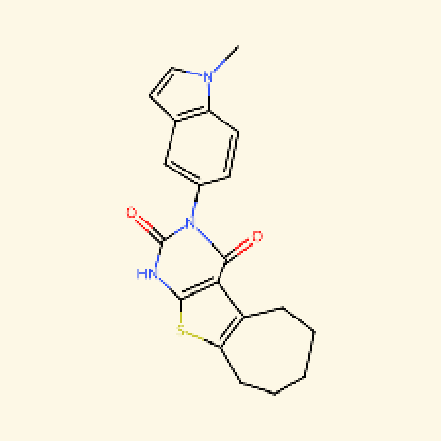 Cn1ccc2cc(-n3c(=O)[nH]c4sc5c(c4c3=O)CCCCC5)ccc21